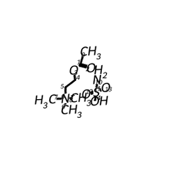 CC(=O)OCC[N+](C)(C)C.NS(=O)(=O)O